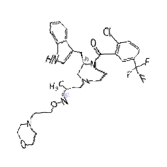 C/C(CN1CCN(C(=O)c2cc(C(F)(F)F)ccc2Cl)[C@H](Cc2c[nH]c3ccccc23)C1)=N\OCCN1CCOCC1